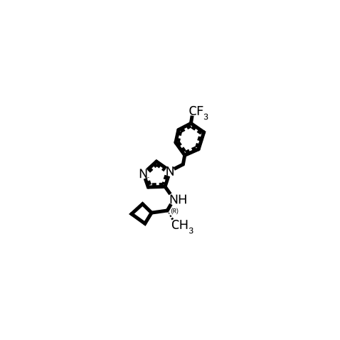 C[C@@H](Nc1cncn1Cc1ccc(C(F)(F)F)cc1)C1CCC1